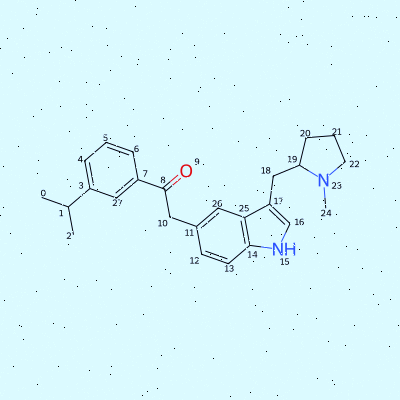 CC(C)c1cccc(C(=O)Cc2ccc3[nH]cc(CC4CCCN4C)c3c2)c1